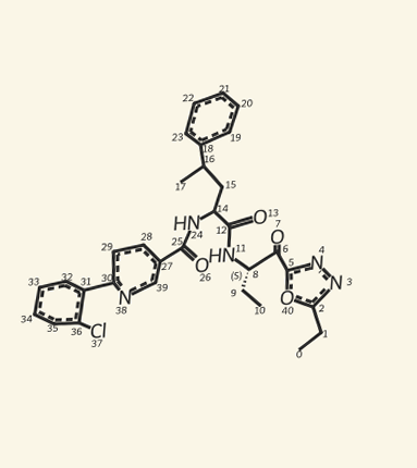 CCc1nnc(C(=O)[C@H](CC)NC(=O)C(CC(C)c2ccccc2)NC(=O)c2ccc(-c3ccccc3Cl)nc2)o1